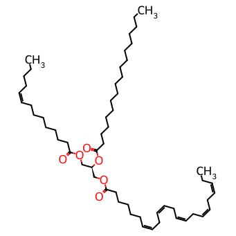 CC/C=C\C/C=C\C/C=C\C/C=C\C/C=C\CCCCCC(=O)OC[C@@H](COC(=O)CCCCCCC/C=C\CCCC)OC(=O)CCCCCCCCCCCCCCCCC